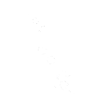 C=Nc1nc(N)nc(N)c1/N=C(\C)CCc1ccc(C(=O)N[C@@H](CCCNC(=O)c2ccc(C(C)(C)C)s2)C(=O)O)cc1